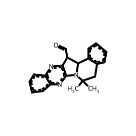 CC1(C)Cc2ccccc2C2C(C=O)c3nc4ccccc4nc3N21